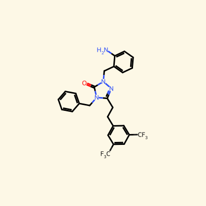 Nc1ccccc1Cn1nc(CCc2cc(C(F)(F)F)cc(C(F)(F)F)c2)n(Cc2ccccc2)c1=O